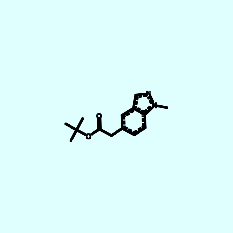 Cn1ncc2cc(CC(=O)OC(C)(C)C)ccc21